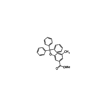 COC(=O)c1cc(C)cc(OC(c2ccccc2)(c2ccccc2)c2ccccc2)c1